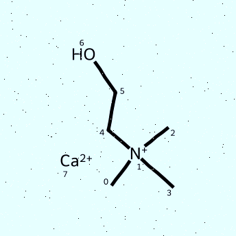 C[N+](C)(C)CCO.[Ca+2]